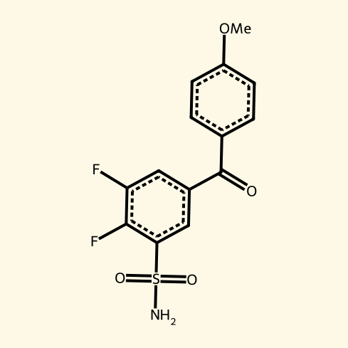 COc1ccc(C(=O)c2cc(F)c(F)c(S(N)(=O)=O)c2)cc1